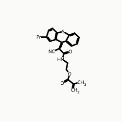 C=C(C)C(=O)OCCNC(=O)C(C#N)=C1c2ccccc2Sc2ccc(C(C)C)cc21